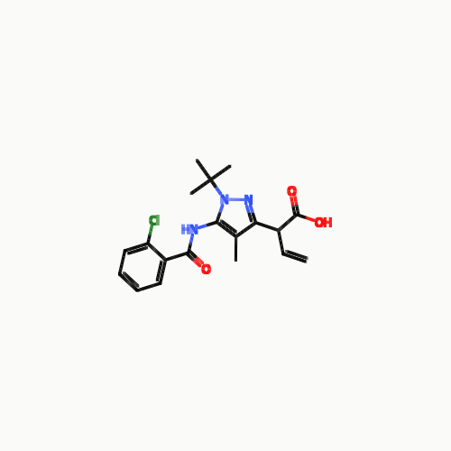 C=CC(C(=O)O)c1nn(C(C)(C)C)c(NC(=O)c2ccccc2Cl)c1C